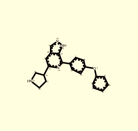 c1ccc(Oc2ccc(-c3nc(C4CCNC4)cc4cn[nH]c34)cc2)cc1